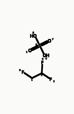 FCC(F)F.O=S(=O)(O)O